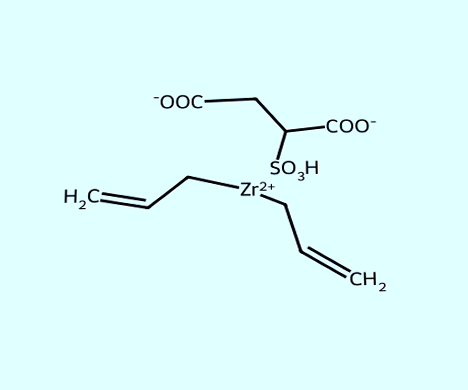 C=C[CH2][Zr+2][CH2]C=C.O=C([O-])CC(C(=O)[O-])S(=O)(=O)O